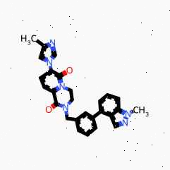 Cc1cn(-c2ccc3n(c2=O)CCN(Cc2cccc(-c4cccc5c4cnn5C)c2)C3=O)cn1